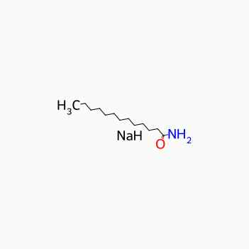 CCCCCCCCCCCCC(N)=O.[NaH]